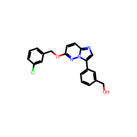 OCc1cccc(-c2cnc3ccc(OCc4cccc(Cl)c4)nn23)c1